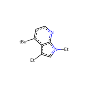 CCc1cn(CC)c2nccc(C(C)(C)C)c12